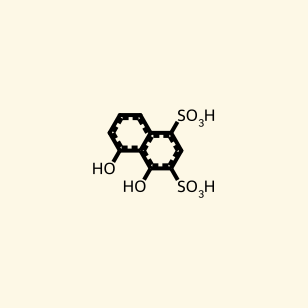 O=S(=O)(O)c1cc(S(=O)(=O)O)c2cccc(O)c2c1O